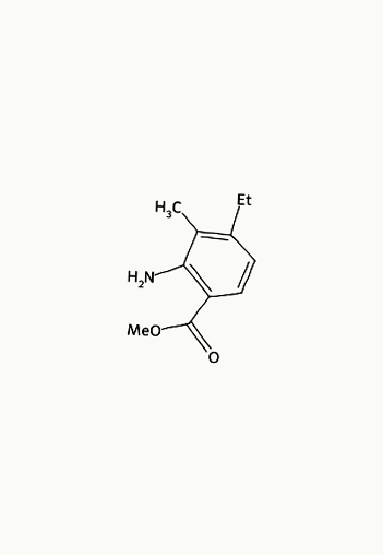 CCc1ccc(C(=O)OC)c(N)c1C